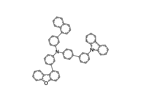 c1cc(-c2cccc3ccccc23)cc(N(c2ccc(-c3cccc(-n4c5ccccc5c5ccccc54)c3)cc2)c2cccc(-c3cccc4oc5ccccc5c34)c2)c1